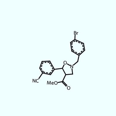 COC(=O)C1CN(Cc2ccc(Br)cc2)OC1c1cccc(C#N)c1